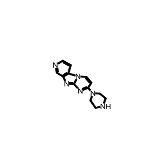 c1cc2c(cn1)nc1nc(N3CCNCC3)ccn12